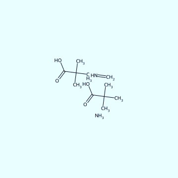 C=N.CC(C)(C)C(=O)O.CC(C)(C)C(=O)O.N